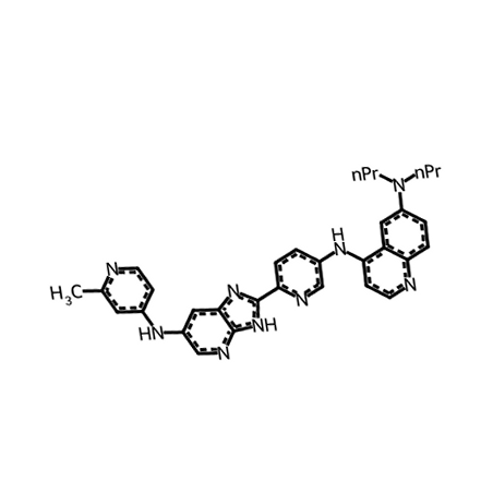 CCCN(CCC)c1ccc2nccc(Nc3ccc(-c4nc5cc(Nc6ccnc(C)c6)cnc5[nH]4)nc3)c2c1